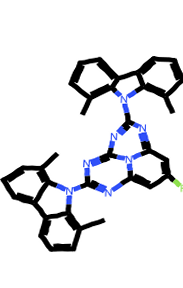 Cc1cccc2c3cccc(C)c3n(C3=NC4=CC(F)=CC5=NC(n6c7c(C)cccc7c7cccc(C)c76)=NC(=N3)N45)c12